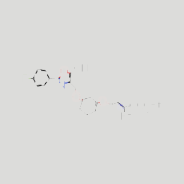 CCOC(=O)/C(=C/CO[C@@H]1CCC[C@H](OCc2nc(-c3ccc(F)cc3)oc2C)C1)CC